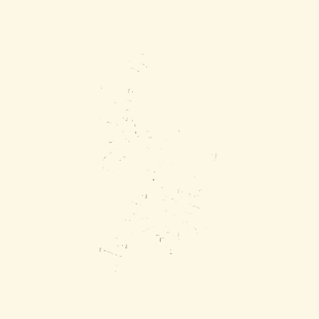 CC(C)(C)SC[C@H](NC(=O)[C@H](Cc1ccccc1)NC(=O)[C@H](CSC(C)(C)C)NC(=O)[C@H](CC(=O)O)NC(=O)CNC(=O)[C@H](CCCNC(=N)N)NC(=O)[C@H](CS)NC(=O)[C@H](CC(=O)O)NC(=O)[C@H](CCCCN)NC(=O)CCl)C(=O)NCC(=O)NCC(=O)O